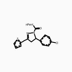 CCCCCC(=O)N1N=C(c2cccs2)CC1c1ccc(Cl)cc1